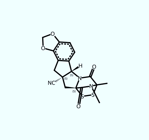 CN1C(=O)[C@@]23C[C@@]4(C#N)Cc5c(ccc6c5OCO6)[C@@H]4N2C(=O)C1(C)SS3